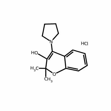 CC1(C)Oc2ccccc2C(N2CCCC2)=C1O.Cl